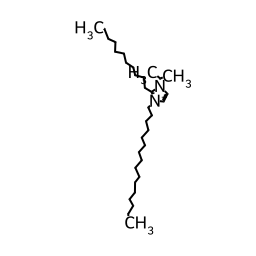 CCCCCCCCCCCCCCCC[n+]1ccn(C(C)C)c1CCCCCCCCCCC